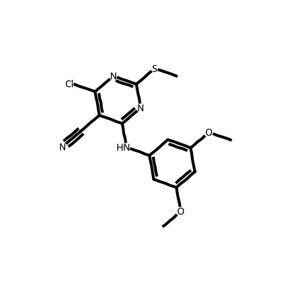 COc1cc(Nc2nc(SC)nc(Cl)c2C#N)cc(OC)c1